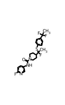 CC(F)(F)c1ccc(SC(C)(F)C2CCN(C(=O)Nc3ccc(F)nc3)CC2)cc1